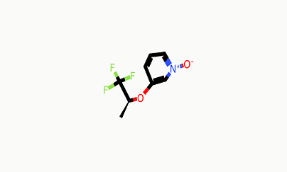 C[C@H](Oc1ccc[n+]([O-])c1)C(F)(F)F